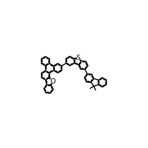 CC1(C)c2ccccc2-c2cc(-c3ccc4sc5ccc(-c6ccc7c(c6)c6ccccc6c6ccc8c9ccccc9oc8c67)cc5c4c3)ccc21